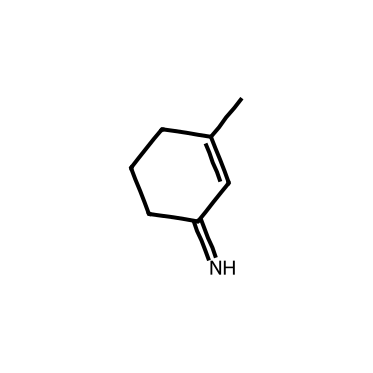 CC1=CC(=N)CCC1